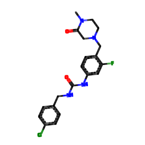 CN1CCN(Cc2ccc(NC(=O)NCc3ccc(Cl)cc3)cc2F)CC1=O